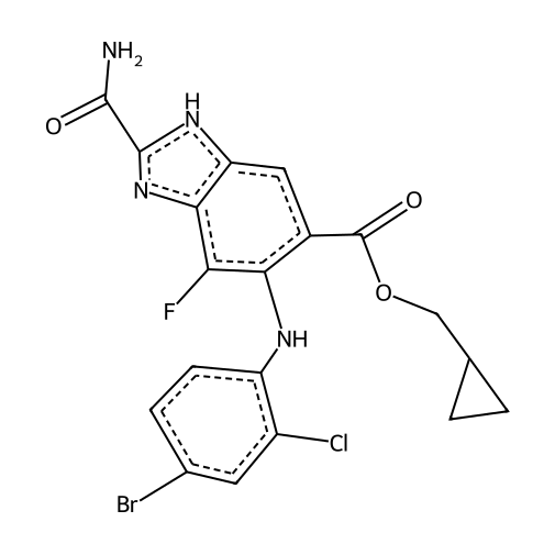 NC(=O)c1nc2c(F)c(Nc3ccc(Br)cc3Cl)c(C(=O)OCC3CC3)cc2[nH]1